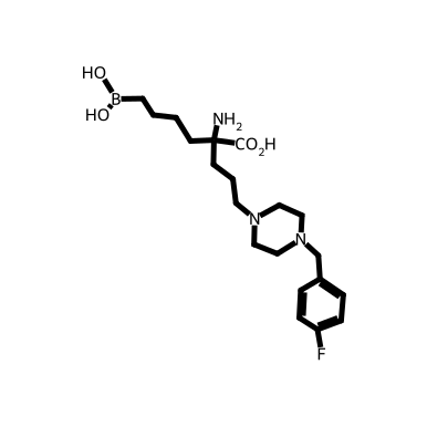 NC(CCCCB(O)O)(CCCN1CCN(Cc2ccc(F)cc2)CC1)C(=O)O